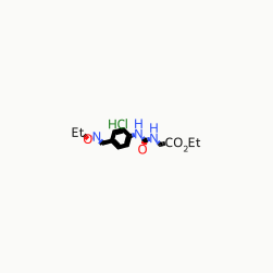 CCON=Cc1ccc(NC(=O)NCC(=O)OCC)cc1.Cl